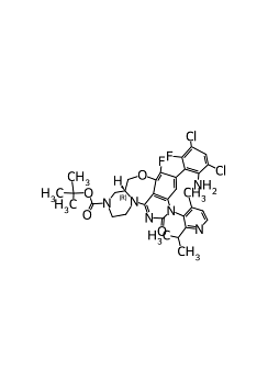 Cc1ccnc(C(C)C)c1-n1c(=O)nc2c3c(c(F)c(-c4c(N)c(Cl)cc(Cl)c4F)cc31)OC[C@H]1CN(C(=O)OC(C)(C)C)CCN21